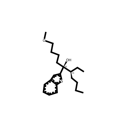 CCCC[C@H](CC)[C@@](O)(CCCCOC)c1cc2ccccc2s1